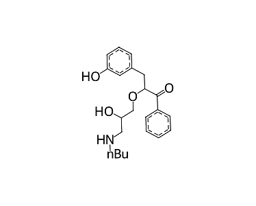 CCCCNCC(O)COC(Cc1cccc(O)c1)C(=O)c1ccccc1